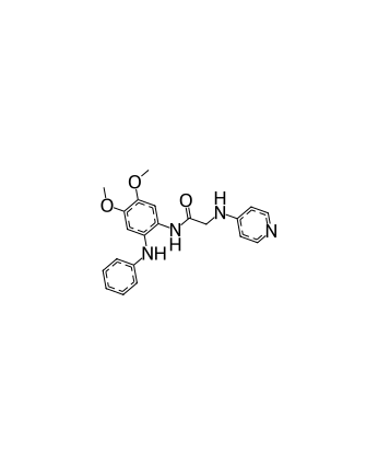 COc1cc(NC(=O)CNc2ccncc2)c(Nc2ccccc2)cc1OC